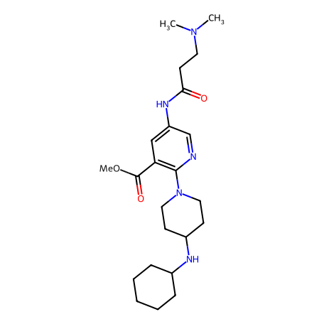 COC(=O)c1cc(NC(=O)CCN(C)C)cnc1N1CCC(NC2CCCCC2)CC1